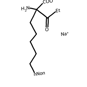 CCCCCCCCCCCCCCC(N)(C(=O)[O-])C(=O)CC.[Na+]